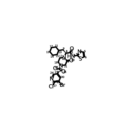 O=C(Nc1nccs1)[C@H](CC1CCCCC1)N1CCN(S(=O)(=O)c2cnc(Cl)c(Br)c2)CC1=O